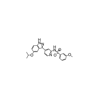 COc1cccc(S(=O)(=O)Nc2cc(-c3n[nH]c4ccc(OC(C)C)cc34)ccn2)c1